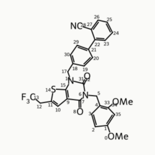 COc1ccc(Cn2c(=O)c3cc(CC(F)(F)F)sc3n(Cc3ccc(-c4ccccc4C#N)cc3)c2=O)c(OC)c1